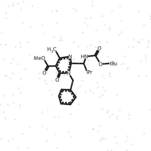 COC(=O)c1c(C)nc(C(NC(=O)OC(C)(C)C)C(C)C)n(Cc2ccccc2)c1=O